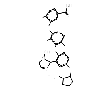 CN1CC=NC1c1cc(OC2CCCC2C(=O)O)ccc1Oc1c(F)cnc(Oc2cc(C(=N)N)ccc2O)c1F